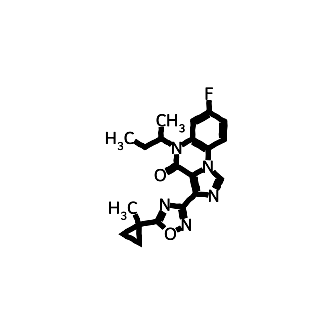 CCC(C)n1c(=O)c2c(-c3noc(C4(C)CC4)n3)ncn2c2ccc(F)cc21